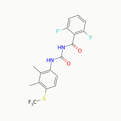 Cc1c(NC(=O)NC(=O)c2c(F)cccc2F)ccc(SC(F)(F)F)c1C